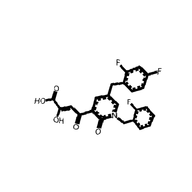 O=C(O)C(O)=CC(=O)c1cc(Cc2ccc(F)cc2F)cn(Cc2ccccc2F)c1=O